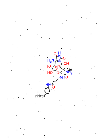 CCCCCCCc1ccc(NC(=O)CCCNC(C(N)=O)C(OC2OC(CN)C(O)C2O)C(OC)C(O)C(O)n2ccc(=O)[nH]c2=O)cc1